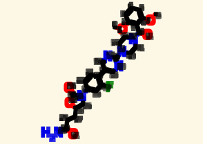 COc1cccc(OC)c1C(=O)N1CCN(c2ncc(-c3ccc(N4CC(CCC(N)=O)OC4=O)cc3F)cn2)CC1